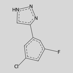 Fc1cc(Cl)cc(-c2c[nH]nn2)c1